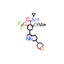 COc1cc(-c2cnn3cc(C4CCOCC4)ccc23)cc(OC(F)F)c1C(=O)NC1CC1